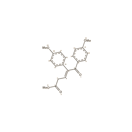 COC(=O)CC=C(C(=O)c1ccc(OC)cc1)c1ccc(OC)cc1